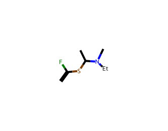 C=C(F)SC(C)N(C)CC